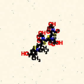 C/C(C=C1Sc2cc(CO)c(C)cc2N1C)=c1\s/c(=c2/s/c(=C3/SC(=O)N(CC(=O)O)C3=O)n(CC(=O)O)c2=O)n(CC(=O)O)c1=O